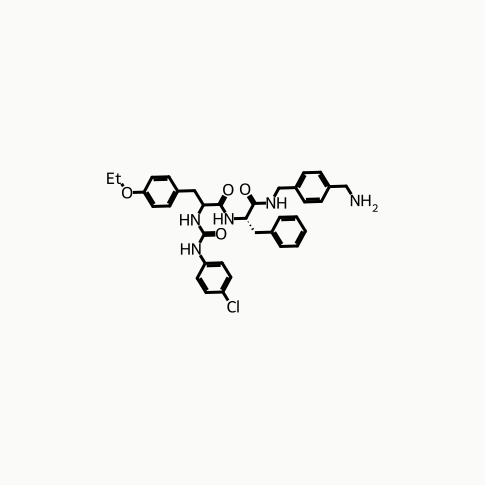 CCOc1ccc(CC(NC(=O)Nc2ccc(Cl)cc2)C(=O)N[C@@H](Cc2ccccc2)C(=O)NCc2ccc(CN)cc2)cc1